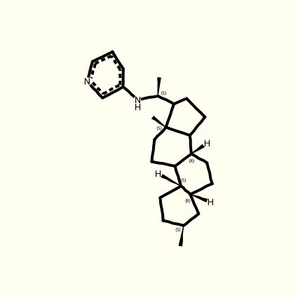 C[C@H]1CC[C@@H]2C3CC[C@@]4(C)C(CCC4[C@H](C)Nc4cccnc4)[C@@H]3CC[C@@H]2C1